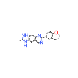 CC(=N)Nc1ccc2nc(-c3ccc4c(c3)CCCO4)ncc2c1